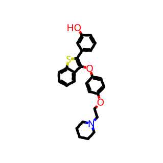 Oc1cccc(-c2sc3ccccc3c2Oc2ccc(OCCN3CCCCC3)cc2)c1